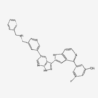 Oc1cc(F)cc(-c2nccc3[nH]c(-c4n[nH]c5ncc(-c6cncc(CNCc7ccccc7)c6)cc45)cc23)c1